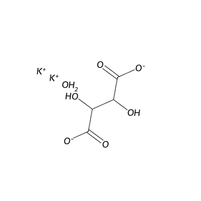 O.O=C([O-])C(O)C(O)C(=O)[O-].[K+].[K+]